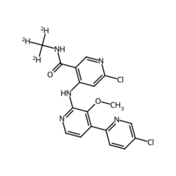 [2H]C([2H])([2H])NC(=O)c1cnc(Cl)cc1Nc1nccc(-c2ccc(Cl)cn2)c1OC